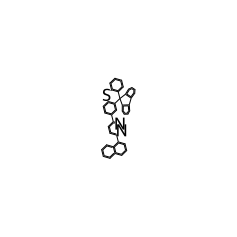 c1ccc2c(c1)Sc1ccc(-c3ccc(-c4cccc5ccccc45)nn3)cc1C21c2ccccc2-c2ccccc21